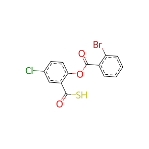 O=C(Oc1ccc(Cl)cc1C(=O)S)c1ccccc1Br